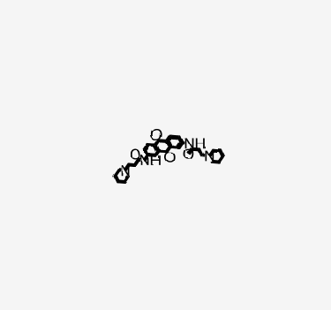 O=C(CCN1CCCCC1)Nc1ccc2c(c1)C(=O)c1cc(NC(=O)CCN3CCCCC3)ccc1C2=O